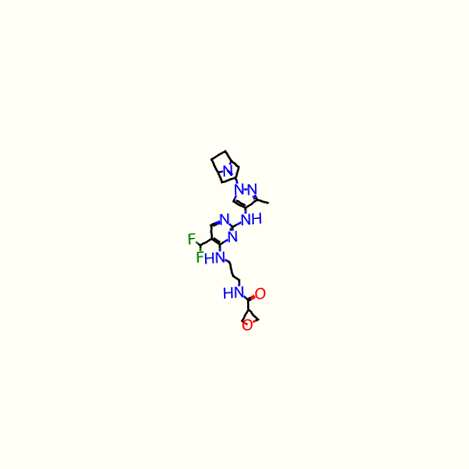 Cc1nn(C2CC3CCC(C2)N3C)cc1Nc1ncc(C(F)F)c(NCCCNC(=O)C2COC2)n1